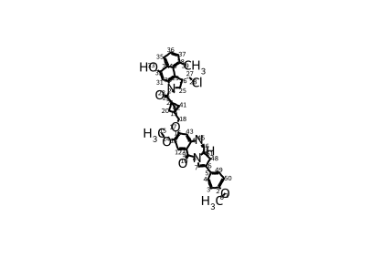 COc1ccc(C2=CN3C(=O)c4cc(OC)c(OCC56CC(C(=O)N7C[C@@H](CCl)c8c7cc(O)c7cccc(C)c87)(C5)C6)cc4N=C[C@@H]3C2)cc1